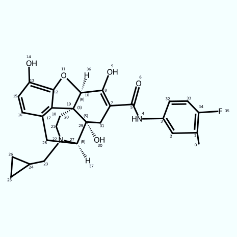 Cc1cc(NC(=O)C2=C(O)[C@@H]3Oc4c(O)ccc5c4[C@@]34CCN(CC3CC3)[C@H](C5)[C@]4(O)C2)ccc1F